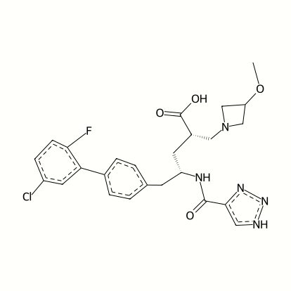 COC1CN(C[C@H](C[C@@H](Cc2ccc(-c3cc(Cl)ccc3F)cc2)NC(=O)c2c[nH]nn2)C(=O)O)C1